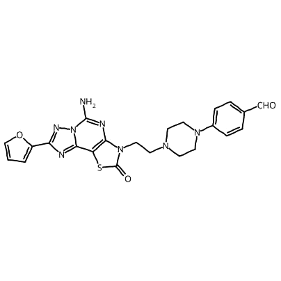 Nc1nc2c(sc(=O)n2CCN2CCN(c3ccc(C=O)cc3)CC2)c2nc(-c3ccco3)nn12